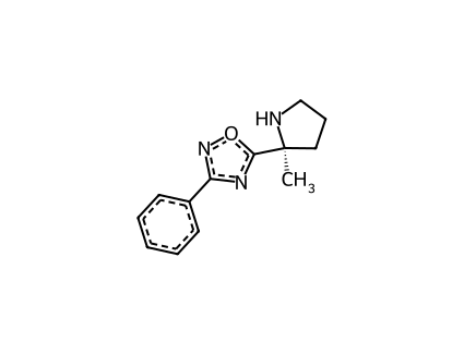 C[C@@]1(c2nc(-c3ccccc3)no2)CCCN1